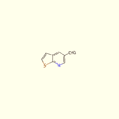 O=Cc1cnc2sccc2c1